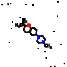 CN1CCN([C]2C=CC3=C(CCC(C)(C)O3)C2)CC1